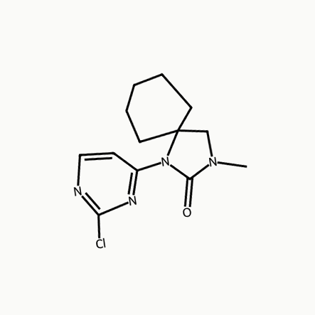 CN1CC2(CCCCC2)N(c2ccnc(Cl)n2)C1=O